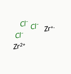 [Cl-].[Cl-].[Cl-].[Zr+2].[Zr+]